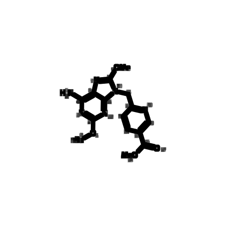 CCCCOc1nc(N)c2nc(OC)n(Cc3ccc(C(=O)OC)cn3)c2n1